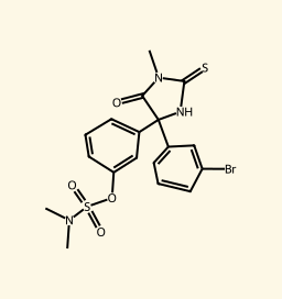 CN1C(=O)C(c2cccc(Br)c2)(c2cccc(OS(=O)(=O)N(C)C)c2)NC1=S